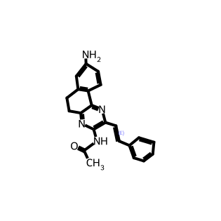 CC(=O)Nc1nc2c(nc1/C=C/c1ccccc1)-c1ccc(N)cc1CC2